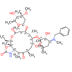 CC[C@H]1OC(=O)[C@H](C)[C@@H](O[C@H]2C[C@@](C)(OC)[C@@H](O)[C@H](C)O2)[C@H](C)[C@@H](O[C@@H]2O[C@H](C)C[C@H](N(C)Cc3ccccc3)[C@H]2O)[C@@](C)(OC)C[C@@H](C)C(=O)[C@H](C)[C@H]2NC(=O)O[C@@]21C